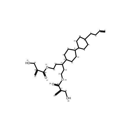 C=CCCC1CCC(C2CCC(C(CCOC(=O)C(=C)CO)CCOC(=O)C(=C)CO)CC2)CC1